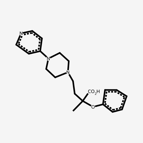 CC(CCN1CCN(c2ccncc2)CC1)(Oc1ccccc1)C(=O)O